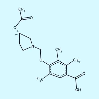 CC(=O)O[C@H]1CCN(COc2c(C)cc(C(=O)O)c(C)c2C)C1